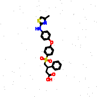 Cc1csc(Nc2ccc(Oc3ccc(S(=O)(=O)CC(CC(=O)O)c4ccccc4)cc3)cc2)n1